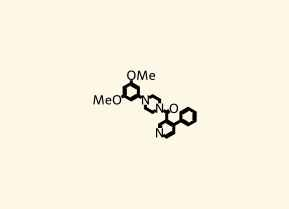 COc1cc(OC)cc(N2CCN(C(=O)c3cnccc3-c3ccccc3)CC2)c1